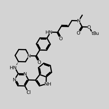 CN(C/C=C/C(=O)Nc1ccc(C(=O)N2CCC[C@@H](Nc3ncc(Cl)c(-c4c[nH]c5ccccc45)n3)C2)cc1)C(=O)OC(C)(C)C